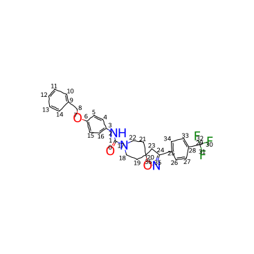 O=C(Nc1ccc(OCc2ccccc2)cc1)N1CCC2(CC1)CC(c1ccc(C(F)(F)F)cc1)=NO2